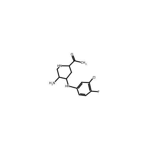 CC(=O)C1CC(Nc2ccc(F)c(Cl)c2)C(N)CN1